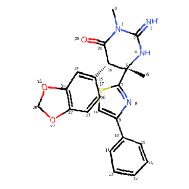 CN1C(=N)N[C@](C)(c2nc(-c3ccccc3)cs2)[C@H](c2ccc3c(c2)OCO3)C1=O